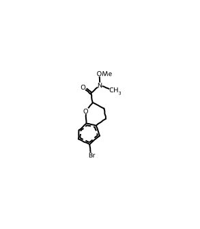 CON(C)C(=O)C1CCc2cc(Br)ccc2O1